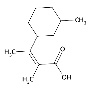 CC(C(=O)O)=C(C)C1CCCC(C)C1